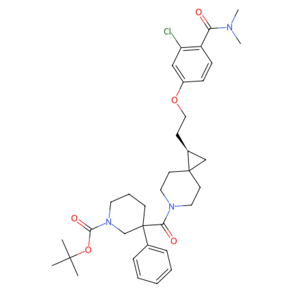 CN(C)C(=O)c1ccc(OCC[C@H]2CC23CCN(C(=O)C2(c4ccccc4)CCCN(C(=O)OC(C)(C)C)C2)CC3)cc1Cl